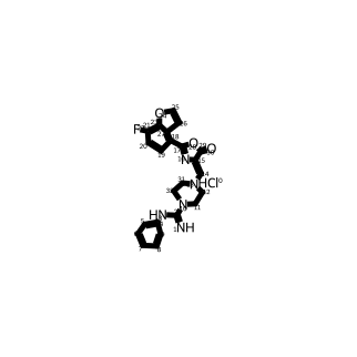 Cl.N=C(Nc1ccccc1)N1CCN(C=C2N=C(c3ccc(F)c4occc34)OC2=O)CC1